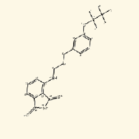 CC(C)(C)[Si](C)(C)Oc1cccc(CCCNc2cccc3c2C(=O)NC3=O)c1